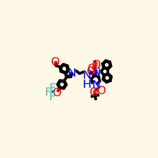 COC(=O)N(C1c2ccccc2-c2ccccc21)C1(C(=O)NCCCn2cc(-c3ccc(OC(F)(F)F)cc3)c3cc(C=O)ccc32)CCN(C(=O)OC(C)(C)C)CC1